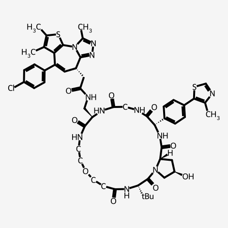 Cc1ncsc1-c1ccc([C@@H]2NC(=O)[C@@H]3C[C@@H](O)CN3C(=O)[C@H](C(C)(C)C)NC(=O)CCOCCNC(=O)[C@@H](CNC(=O)C[C@@H]3C=C(c4ccc(Cl)cc4)c4c(sc(C)c4C)-n4c(C)nnc43)NC(=O)CNC2=O)cc1